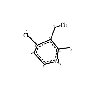 Cc1nccc(Cl)c1CCl